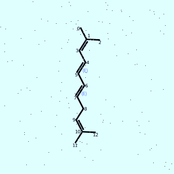 CC(C)=C/C=C/C=C/CC=C(C)C